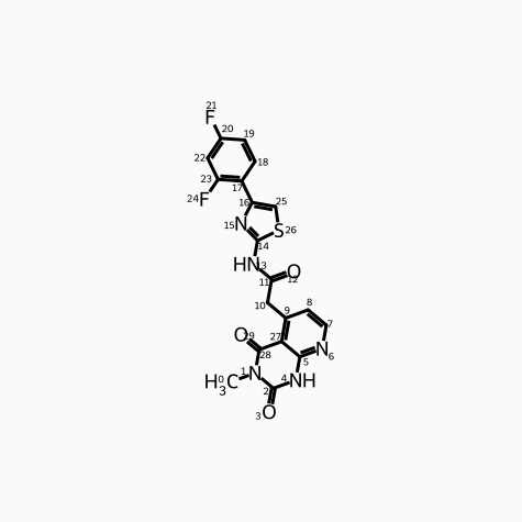 Cn1c(=O)[nH]c2nccc(CC(=O)Nc3nc(-c4ccc(F)cc4F)cs3)c2c1=O